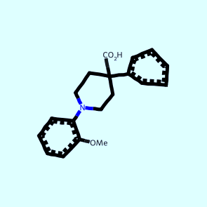 COc1ccccc1N1CCC(C(=O)O)(c2ccccc2)CC1